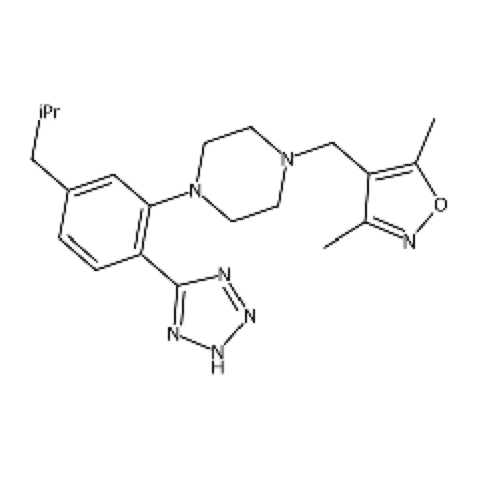 Cc1noc(C)c1CN1CCN(c2cc(CC(C)C)ccc2-c2nn[nH]n2)CC1